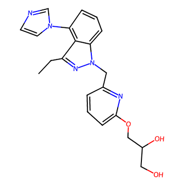 CCc1nn(Cc2cccc(OCC(O)CO)n2)c2cccc(-n3ccnc3)c12